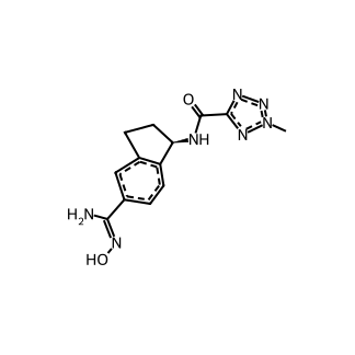 Cn1nnc(C(=O)N[C@@H]2CCc3cc(/C(N)=N/O)ccc32)n1